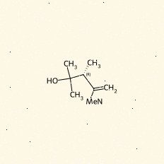 C=C(NC)[C@@H](C)C(C)(C)O